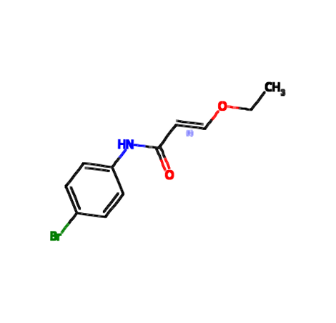 CCO/C=C/C(=O)Nc1ccc(Br)cc1